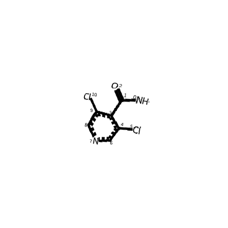 [NH]C(=O)c1c(Cl)cncc1Cl